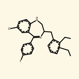 CCc1cccc(CC2CNc3ccc(Cl)cc3C(c3ccc(F)cc3)=N2)c1CC